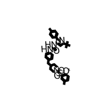 COc1ccc(C)cc1S(=O)(=O)N1CCC(Cc2ccc(NC(=O)Nc3cc(C(C)(C)C)nn3-c3ccc(C)cc3)cc2)CC1